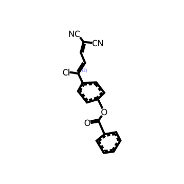 N#CC(C#N)=C/C=C(\Cl)c1ccc(OC(=O)c2ccccc2)cc1